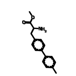 COC(=O)C(N)Cc1ccc(-c2ccc(C)cc2)cc1